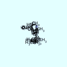 CC[Si](CC)(CC)OC(CO[Si](C)(C)C(C)(C)C)C1C[C@H]2O[C@@H]3[C@H](C[C@H]2O1)OOC(CC(=O)OCc1ccccc1)[C@@H](O)[C@@H](C)C/C=C/[C@@H]3C